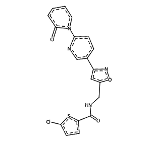 O=C(NCc1cc(-c2ccc(-n3ccccc3=O)nc2)no1)c1ccc(Cl)s1